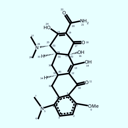 COc1ccc(N(C)C)c2c1C(=O)C1=C(O)[C@]3(O)C(=O)C(C(N)=O)=C(O)[C@@H](N(C)C)[C@@H]3C[C@@H]1C2